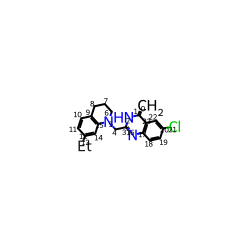 C=C1NC(CN2CCCc3ccc(CC)cc32)=Nc2ccc(Cl)cc21